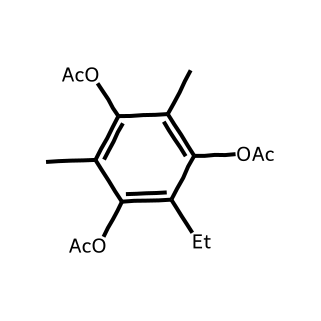 CCc1c(OC(C)=O)c(C)c(OC(C)=O)c(C)c1OC(C)=O